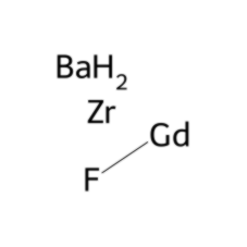 [BaH2].[F][Gd].[Zr]